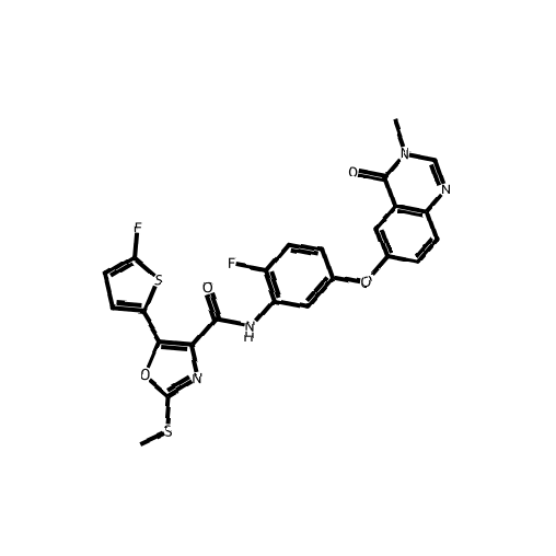 CSc1nc(C(=O)Nc2cc(Oc3ccc4ncn(C)c(=O)c4c3)ccc2F)c(-c2ccc(F)s2)o1